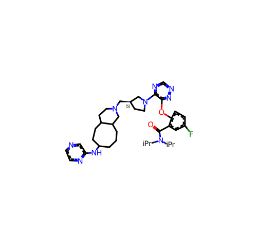 CC(C)N(C(=O)c1cc(F)ccc1Oc1nncnc1N1CC[C@@H](CN2CCC3CCC(Nc4cnccn4)CCCC3C2)C1)C(C)C